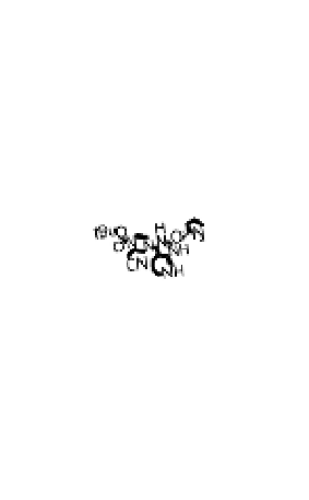 CN1CCC[C@H]1COC1NC2CNCCCC2C(N2CCN(C(=O)OC(C)(C)C)C(CC#N)C2)N1